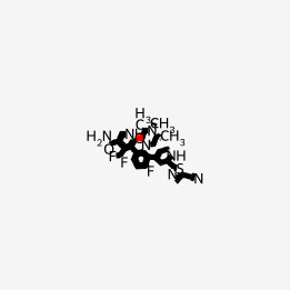 C[C@@H]1CN(c2c(-c3c(C(F)F)c(C(N)=O)c[nH]c3=O)ccc(F)c2C2=CCNC(c3ncc(C#N)s3)C2)C[C@H](C)N1C